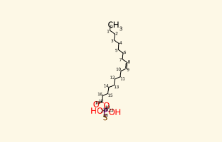 CCCCCCCC/C=C\CCCCCCCC(=O)OP(O)(O)=S